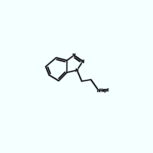 CCCCCCCCCn1nnc2ccccc21